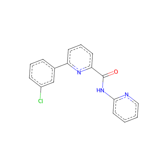 O=C(Nc1ccccn1)c1cccc(-c2cccc(Cl)c2)n1